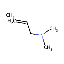 C=CCN(C)C.[CH3]